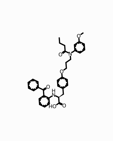 CCCC(=O)N(CCCOc1ccc(C[C@H](Nc2ccccc2C(=O)c2ccccc2)C(=O)O)cc1)c1cccc(OC)c1